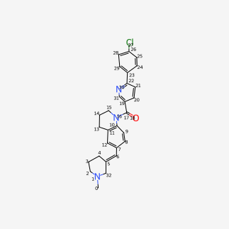 CN1CCCC(=Cc2ccc3c(c2)CCCN3C(=O)c2ccc(-c3ccc(Cl)cc3)nc2)C1